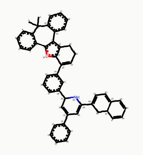 CC1(C)c2ccccc2-c2oc3c(c2-c2ccccc21)CCC=C3c1cccc(C2C=C(c3ccccc3)C=C(C3=CC=C4C=CC=CC4C3)N2)c1